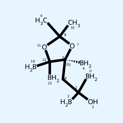 BC(B)(O)C[C@]1(B)OC(C)(C)OC1(B)B